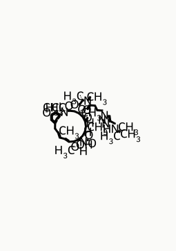 COc1cc2cc(c1Cl)N(C)C(=O)C[C@H](OC(=O)[C@H](C)N(C)C(=O)CCCn1cc(CNC(C)(C)C)nn1)[C@]1(C)O[C@@H]1[C@H](C)[C@H]1C[C@@](O)(NC(=O)O1)[C@H](OC)/C=C/C=C(\C)C2